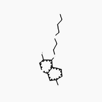 CCCCOCCNc1c(N)cnc2cc(Br)ccc12